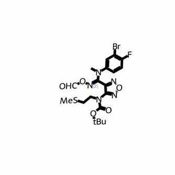 CSCCN(C(=O)OC(C)(C)C)c1nonc1/C(=N/OC=O)N(C)c1ccc(F)c(Br)c1